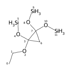 CCOC1(O[SiH3])CC1(O[SiH3])O[SiH3]